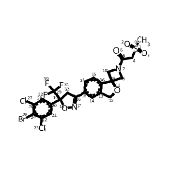 CS(=O)(=O)CC(=O)N1CC2(C1)OCc1cc(C3=NOC(c4cc(Cl)c(Br)c(Cl)c4)(C(F)(F)F)C3)ccc12